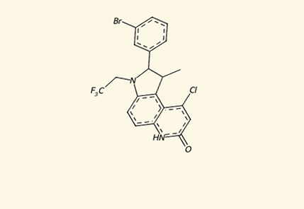 CC1c2c(ccc3[nH]c(=O)cc(Cl)c23)N(CC(F)(F)F)C1c1cccc(Br)c1